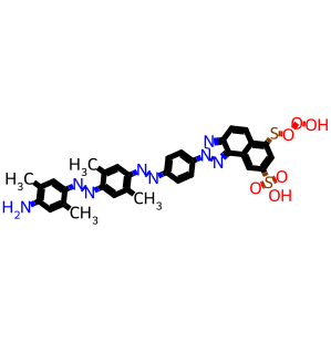 Cc1cc(N=Nc2cc(C)c(N=Nc3ccc(-n4nc5ccc6c(SOOO)cc(S(=O)(=O)O)cc6c5n4)cc3)cc2C)c(C)cc1N